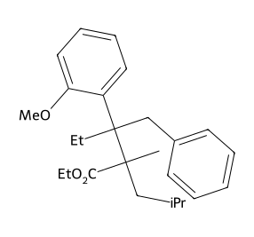 CCOC(=O)C(C)(CC(C)C)C(CC)(Cc1ccccc1)c1ccccc1OC